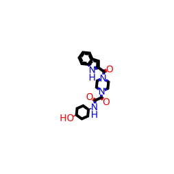 O=C(N[C@H]1CC[C@@H](O)CC1)C(=O)N1CCN(C(=O)c2cc3ccccc3[nH]2)CC1